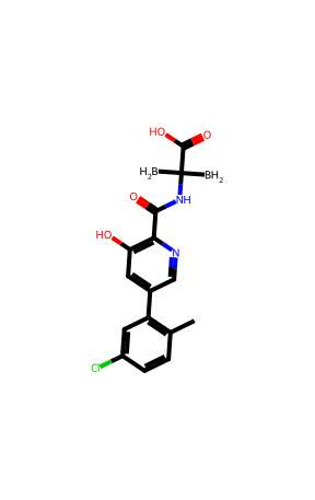 BC(B)(NC(=O)c1ncc(-c2cc(Cl)ccc2C)cc1O)C(=O)O